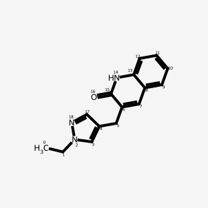 CCn1cc(Cc2cc3ccccc3[nH]c2=O)cn1